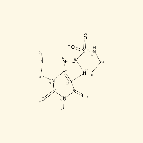 C#CCn1c(=O)n(C)c(=O)c2c1nc1n2CCNS1(=O)=O